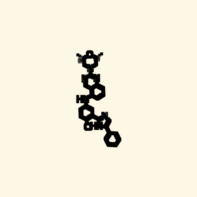 C[C@@H]1CN(c2ncc3c(Nc4ccc(Cl)c(-c5ncc(-c6ccccc6)[nH]5)c4)cccc3n2)C[C@H](C)O1